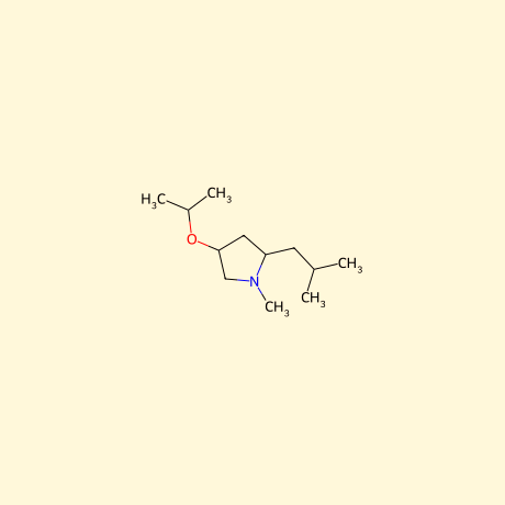 CC(C)CC1CC(OC(C)C)CN1C